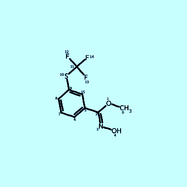 COC(=NO)c1cccc(SC(F)(F)F)c1